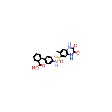 Cc1cc2[nH]c(=O)c(=O)[nH]c2cc1S(=O)(=O)Nc1ccc(-c2ccccc2C(=O)O)cc1